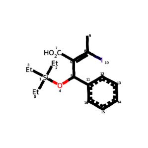 CC[Si](CC)(CC)OC(C(C(=O)O)=C(C)I)c1ccccc1